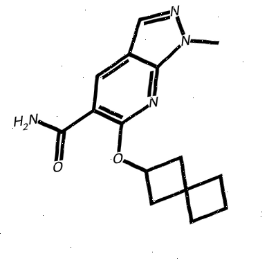 Cn1ncc2cc(C(N)=O)c(OC3CC4(CCC4)C3)nc21